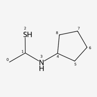 CC(S)NC1CCCC1